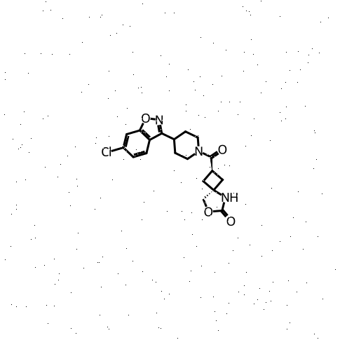 O=C1N[C@]2(CO1)C[C@H](C(=O)N1CCC(c3noc4cc(Cl)ccc34)CC1)C2